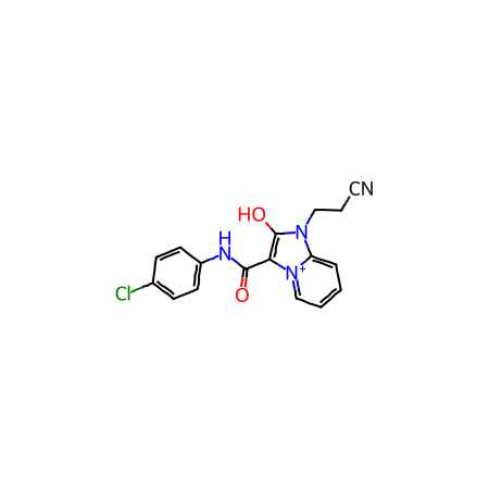 N#CCCn1c(O)c(C(=O)Nc2ccc(Cl)cc2)[n+]2ccccc12